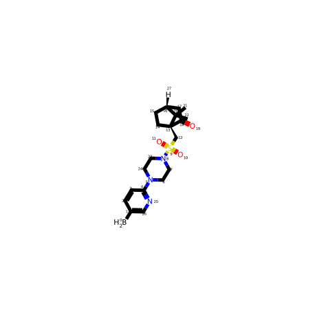 Bc1ccc(N2CCN(S(=O)(=O)C[C@]34CC[C@H](CC3=O)C4(C)C)CC2)nc1